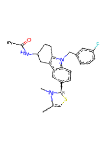 CC1=CS[C@H](c2ccc3c(c2)c2c(n3Cc3cccc(F)c3)CCC(NC(=O)C(C)C)C2)N1C